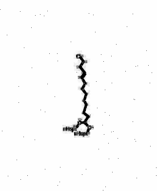 CCCCCCCOC(CCCCCCC/C=C/CCCl)OCCCCCCC